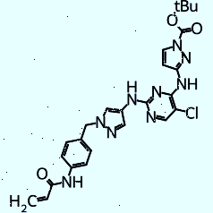 C=CC(=O)Nc1ccc(Cn2cc(Nc3ncc(Cl)c(Nc4ccn(C(=O)OC(C)(C)C)n4)n3)cn2)cc1